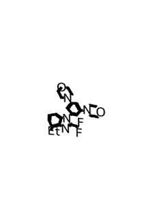 CCc1cccc2c1nc(C(F)F)n2-c1cc(N2CCOCC2)cc(N2CCOCC2)c1